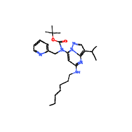 CCCCCCCNc1cc(N(Cc2ccccn2)C(=O)OC(C)(C)C)n2ncc(C(C)C)c2n1